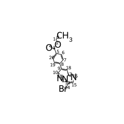 CCOC(=O)c1ccc(-c2cnn3c(Br)cnc3c2)cc1